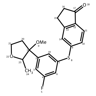 COC1(c2cc(F)cc(Sc3ccc4c(c3)CCC4=O)c2)CCOC1C